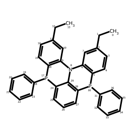 CCc1ccc2c(c1)N1c3cc(CC)ccc3P(c3ccccc3)c3cccc(c31)P2c1ccccc1